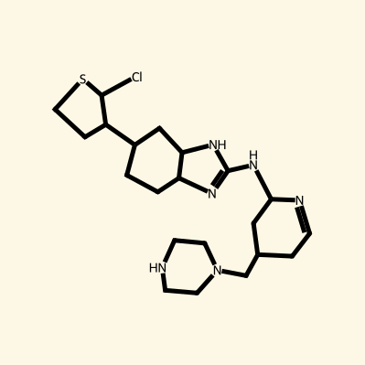 ClC1SCCC1C1CCC2N=C(NC3CC(CN4CCNCC4)CC=N3)NC2C1